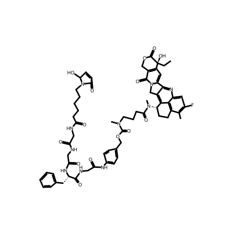 CC[C@@]1(O)C(=O)OCc2c1cc1n(c2=O)Cc2c-1nc1cc(F)c(C)c3c1c2[C@@H](N(C)C(=O)CCCN(C)C(=O)OCc1ccc(NC(=O)CNC(=O)[C@H](Cc2ccccc2)NC(=O)CNC(=O)CNC(=O)CCCCCN2C(=O)C=CC2O)cc1)CC3